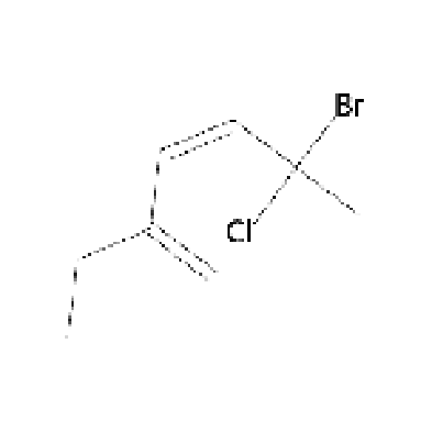 C=C(/C=C\C(C)(Cl)Br)CC